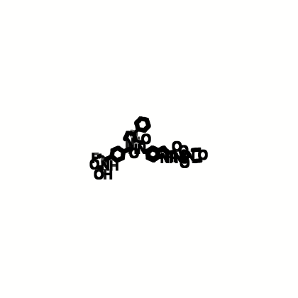 O=C(O)N[C@H](CF)C1CCC(C(=O)N2CC[C@@H](C3CCCCC3)[C@H]2C(=O)Nc2ccc3[nH]c(C(=O)NS(=O)(=O)N4CCOCC4)cc3c2)CC1